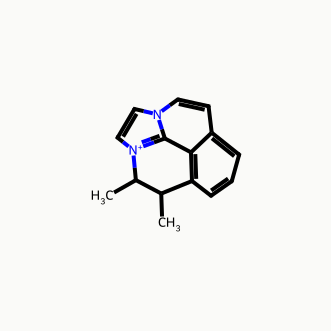 CC1c2cccc3ccn4cc[n+](c4c23)C1C